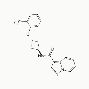 Cc1ccccc1O[C@H]1C[C@H](NC(=O)c2cnn3ccccc23)C1